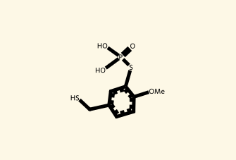 COc1ccc(CS)cc1SP(=O)(O)O